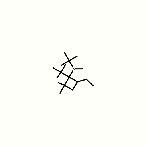 CCC1CC(C)(C)C1(N(C)C(C)(C)C)C(C)(C)C